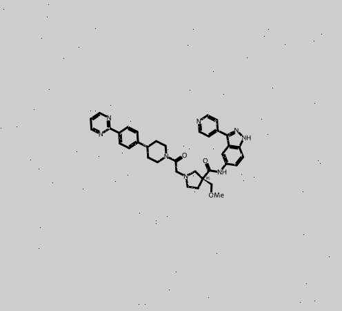 COC[C@@]1(C(=O)Nc2ccc3[nH]nc(-c4ccncc4)c3c2)CCN(CC(=O)N2CCC(c3ccc(-c4ncccn4)cc3)CC2)C1